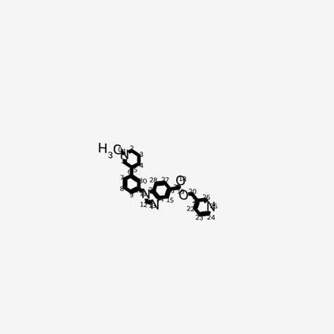 CN1CCCC(c2cccc(-n3cnc4cc(C(=O)OCc5cccnc5)ccc43)c2)C1